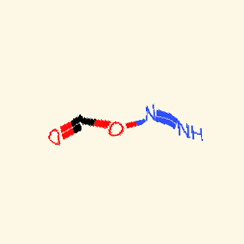 N=NOC=O